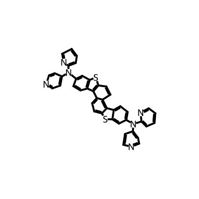 c1ccc(N(c2ccncc2)c2ccc3c(c2)sc2ccc4c(ccc5sc6cc(N(c7ccncc7)c7ccccn7)ccc6c54)c23)nc1